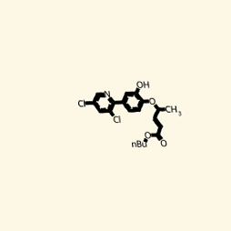 CCCCOC(=O)C=CC(C)Oc1ccc(-c2ncc(Cl)cc2Cl)cc1O